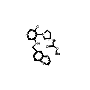 CC(C)(C)OC(=O)N[C@H]1CCN(c2c(Cl)cncc2NCc2ccc3nccnc3c2)C1